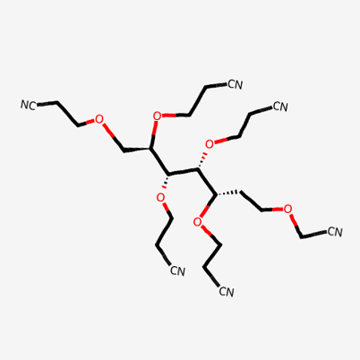 N#CCCOC[C@@H](OCCC#N)[C@@H](OCCC#N)[C@H](OCCC#N)[C@H](CCOCC#N)OCCC#N